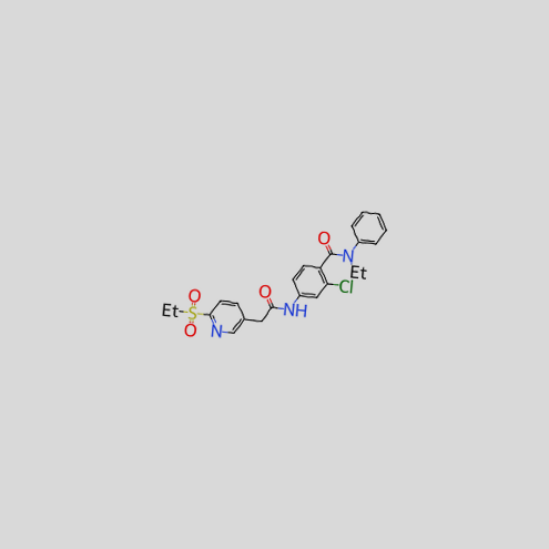 CCN(C(=O)c1ccc(NC(=O)Cc2ccc(S(=O)(=O)CC)nc2)cc1Cl)c1ccccc1